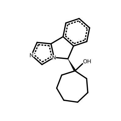 OC1([C@@H]2c3ccccc3-c3cncn32)CCCCCC1